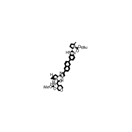 COC(=O)N[C@H](C(=O)N1[C@@H]2C[C@@H]2C[C@H]1c1nc(-c2ccc3cc(-c4ccc5nc([C@@H]6CC[C@@H](C)N6C(=O)OC(C)(C)C)[nH]c5c4)ccc3c2)c[nH]1)C1CCOCC1